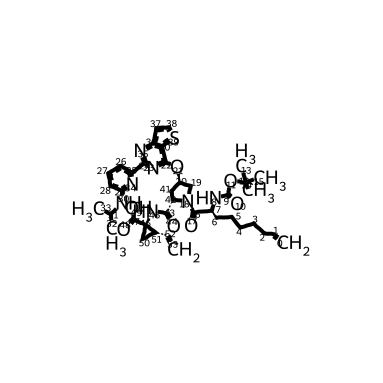 C=CCCCCC[C@H](NC(=O)OC(C)(C)C)C(=O)N1C[C@H](Oc2nc(-c3cccc(NC(C)C)n3)nc3ccsc23)C[C@H]1C(=O)N[C@]1(C(=O)O)C[C@H]1C=C